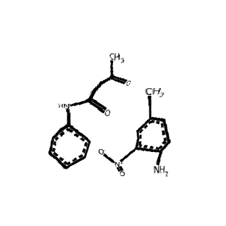 CC(=O)CC(=O)Nc1ccccc1.Cc1ccc(N)c([N+](=O)[O-])c1